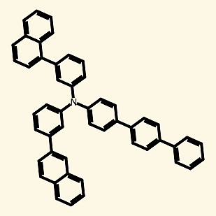 c1ccc(-c2ccc(-c3ccc(N(c4cccc(-c5ccc6ccccc6c5)c4)c4cccc(-c5cccc6ccccc56)c4)cc3)cc2)cc1